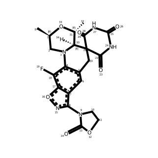 C[C@@H]1CN2c3c(cc4c(N5CCOC5=O)noc4c3F)CC3(C(=O)NC(=O)NC3=O)[C@@H]2[C@@H](C)O1